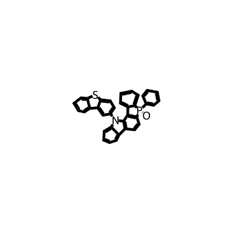 O=P1(c2ccccc2)c2ccccc2-c2c1ccc1c3ccccc3n(-c3ccc4sc5ccccc5c4c3)c21